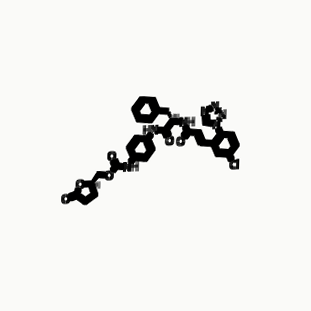 O=C(C=Cc1cc(Cl)ccc1-n1cnnn1)N[C@@H](Cc1ccccc1)C(=O)Nc1ccc(NC(=O)OC[C@H]2CCC(=O)O2)cc1